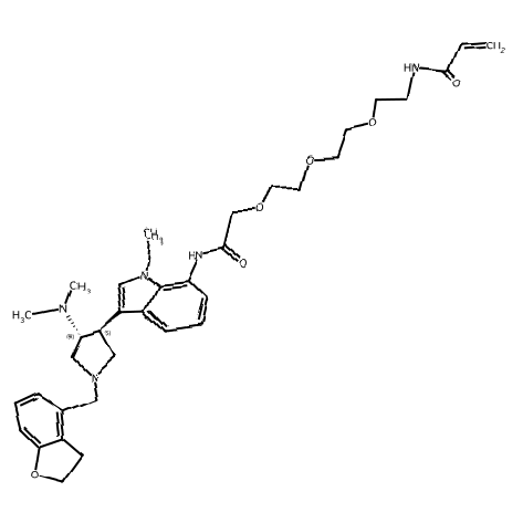 C=CC(=O)NCCOCCOCCOCC(=O)Nc1cccc2c([C@H]3CN(Cc4cccc5c4CCO5)C[C@@H]3N(C)C)cn(C)c12